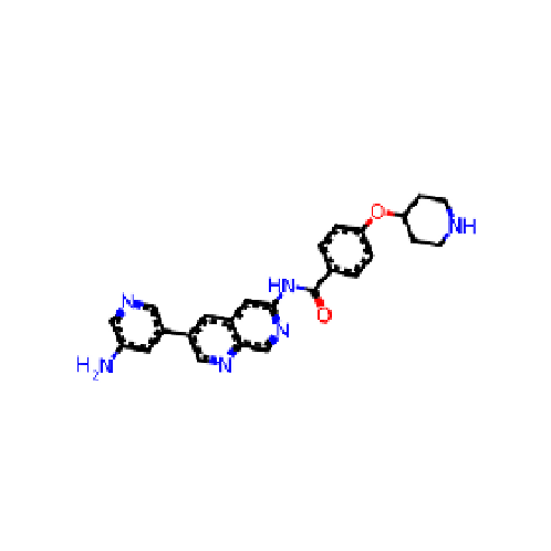 Nc1cncc(-c2cnc3cnc(NC(=O)c4ccc(OC5CCNCC5)cc4)cc3c2)c1